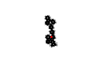 CC1(C)CC(C)(C)c2cc3c(cc21)-c1ccc(-c2ccc(-c4ccc(N(c5ccccc5)c5cccc6c5C(C)(C)c5ccccc5-6)cc4)cc2)cc1C3(c1ccccc1)c1ccccc1